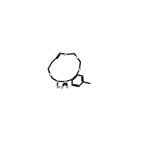 Cc1ccc2c(c1)OCCCC/C=C/CCCCN(C(C)C)S2(=O)=O